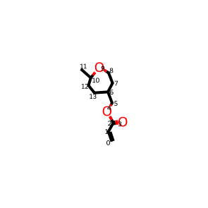 C=CC(=O)OCC1CCOC(C)CC1